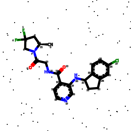 N#C[C@@H]1CC(F)(F)CN1C(=O)CNC(=O)c1ccncc1NC1CCc2cc(Cl)ccc21